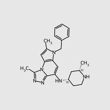 Cc1cc2c(cc(N[C@H]3CCN[C@@H](C)C3)c3nnc(C)n32)n1Cc1ccccc1